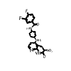 O=C(Nc1ccc(Nc2ccnc3[nH]c(=O)c([N+](=O)[O-])cc23)cc1)c1ccc(F)c(F)c1